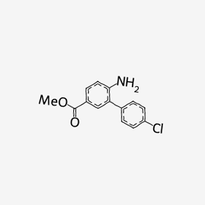 COC(=O)c1ccc(N)c(-c2ccc(Cl)cc2)c1